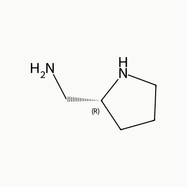 NC[C@H]1CCCN1